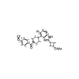 COC1CC(c2nc3c(C4CCN(C(=O)c5ccc(OC(F)(F)F)cc5)CC4)c(F)cnc3[nH]2)C1